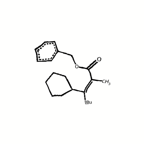 CC(C(=O)OCc1ccccc1)=C(C1CCCCC1)C(C)(C)C